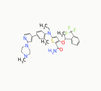 C=CN(c1cc(OC(C)c2ccccc2C(F)(F)F)c(C(N)=O)s1)c1ccc(-c2ccnc(N3CCN(C)CC3)c2)cc1C